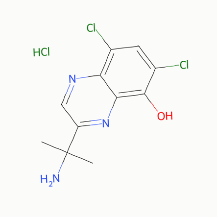 CC(C)(N)c1cnc2c(Cl)cc(Cl)c(O)c2n1.Cl